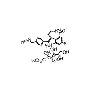 CNCc1ccc(-c2[nH]c3cc(F)cc4c3c2CCNC4=O)cc1.O=C(O)[C@H](O)[C@@H](O)[C@H](O)[C@H](O)CO